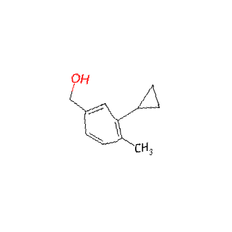 Cc1ccc(CO)cc1C1CC1